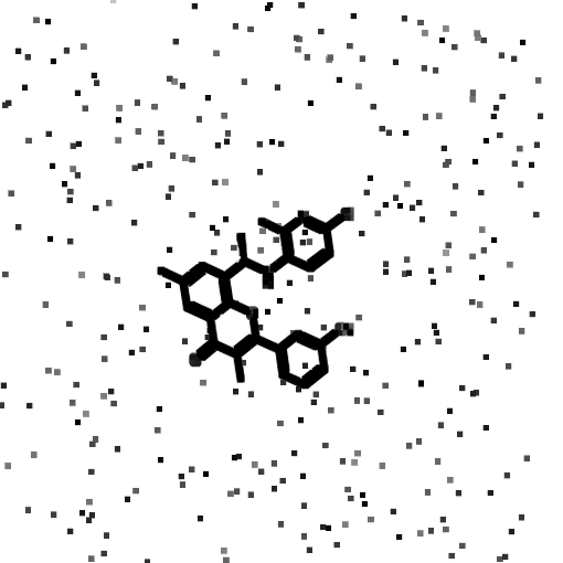 Cc1cc([C@@H](C)Nc2ccc(Cl)nc2C)c2oc(-c3cccc(C#N)c3)c(C)c(=O)c2c1